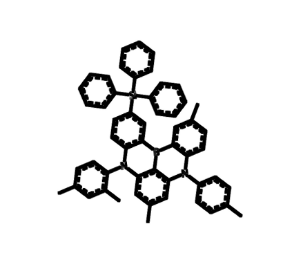 Cc1ccc(N2c3ccc(C)cc3B3c4cc([Si](c5ccccc5)(c5ccccc5)c5ccccc5)ccc4N(c4ccc(C)cc4C)c4cc(C)cc2c43)cc1